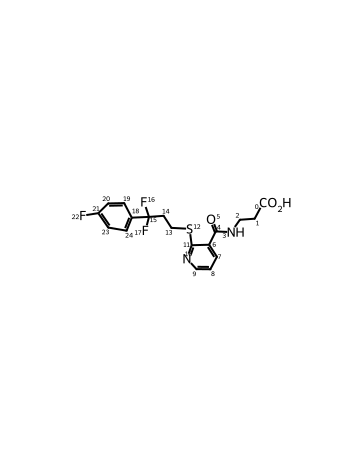 O=C(O)CCNC(=O)c1cccnc1SCCC(F)(F)c1ccc(F)cc1